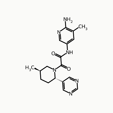 Cc1cc(NC(=O)C(=O)N2C[C@H](C)CC[C@H]2c2cncnc2)cnc1N